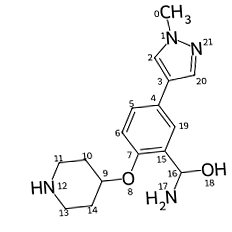 Cn1cc(-c2ccc(OC3CCNCC3)c(C(N)O)c2)cn1